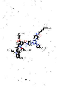 CC(=O)NCCCCCC(=O)NC1CCN(c2nc(N3CCC(NC(=O)c4cc(C(=O)OCCCS(=O)(=O)O)c5c(c4)[N+](CCCS(=O)(=O)O)=C(/C=C/C=C4/N(CCCS(=O)(=O)O)c6ccc(S(=O)(=O)O)cc6C4(C)CCCS(=O)(=O)O)C5(C)C)CC3)nc(N3CCC(C(=O)O)CC3)n2)CC1